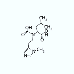 CC(C)CC(C(=O)O)N(CCc1cncn1C)C(=O)O